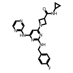 O=C(NC1CC1)C1CN(c2cc(Nc3cnccn3)nc(NCc3ccc(F)cc3)n2)C1